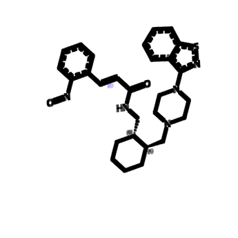 O=Nc1ccccc1/C=C/C(=O)NC[C@H]1CCCC[C@@H]1CN1CCN(c2nsc3ccccc23)CC1